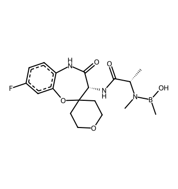 CB(O)N(C)[C@@H](C)C(=O)N[C@H]1C(=O)Nc2ccc(F)cc2OC12CCOCC2